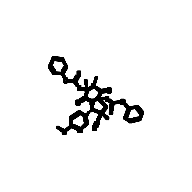 COc1ccc([C@@H]2N3C(=O)[C@](C)(SC(=S)Oc4ccccc4)N(C)C(=O)[C@@]3(SC(=S)Oc3ccccc3)C[C@]2(C)C#N)cn1